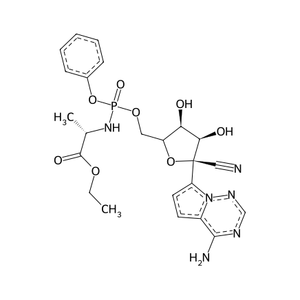 CCOC(=O)[C@H](C)NP(=O)(OCC1O[C@@](C#N)(c2ccc3c(N)ncnn23)[C@H](O)[C@@H]1O)Oc1ccccc1